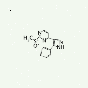 C[S+]([O-])c1nccc(-c2cn[nH]c2-c2ccccc2)n1